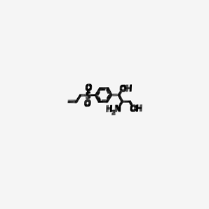 C=CCS(=O)(=O)c1ccc(C(O)C(N)CO)cc1